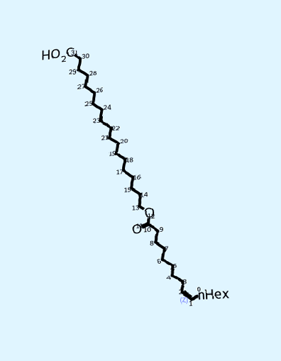 CCCCCC/C=C\CCCCCCCC(=O)OCCCCCCCCCCCCCCCCCCC(=O)O